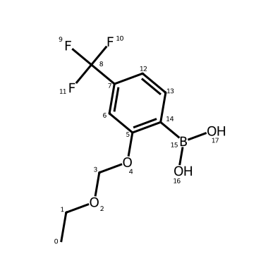 CCOCOc1cc(C(F)(F)F)ccc1B(O)O